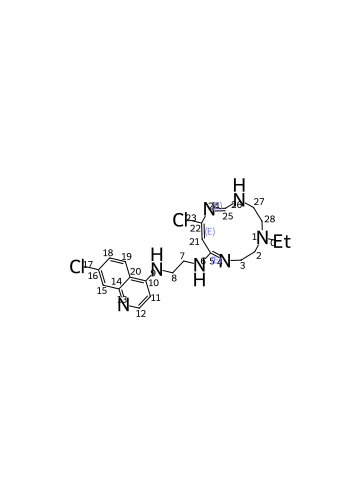 CCN1CC\N=C(NCCNc2ccnc3cc(Cl)ccc23)/C=C(Cl)\N=C\NCC1